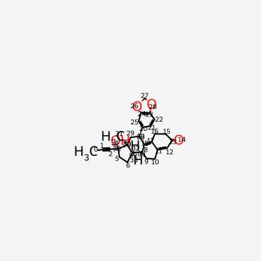 CC#C[C@@]1(O)CC[C@@H]2[C@H]3CCC4=CC(=O)CCC4=C3[C@H](c3ccc4c(c3)OCO4)C[C@]21C